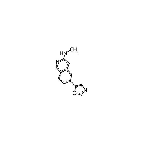 CNc1cc2cc(-c3cnco3)ccc2cn1